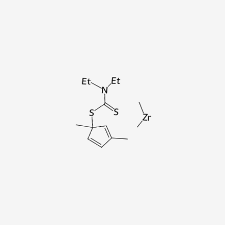 CCN(CC)C(=S)SC1(C)C=CC(C)=C1.[CH3][Zr][CH3]